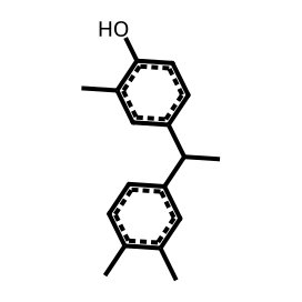 Cc1ccc(C(C)c2ccc(O)c(C)c2)cc1C